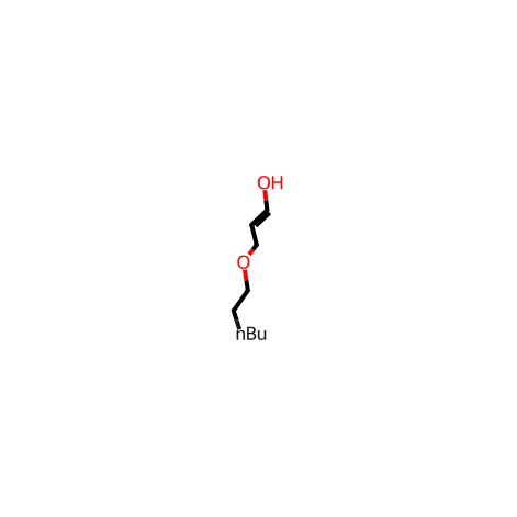 CCCCCCOCC=CO